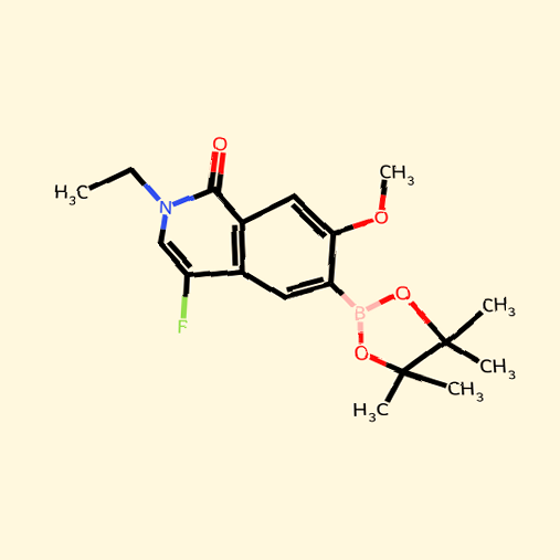 CCn1cc(F)c2cc(B3OC(C)(C)C(C)(C)O3)c(OC)cc2c1=O